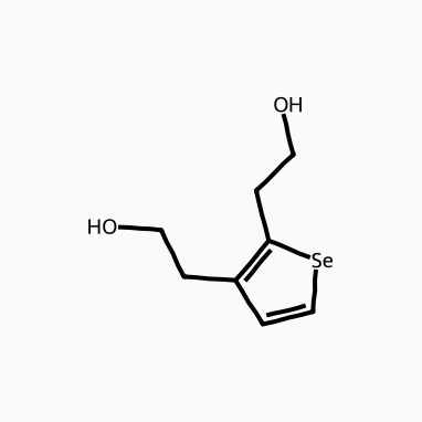 OCCc1cc[se]c1CCO